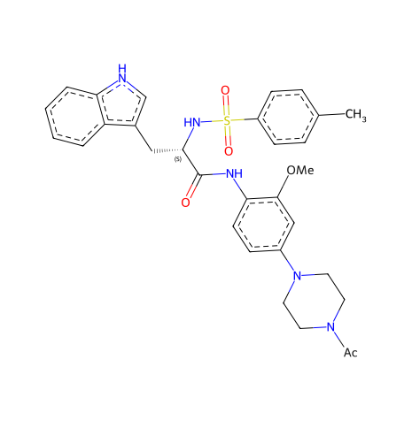 COc1cc(N2CCN(C(C)=O)CC2)ccc1NC(=O)[C@H](Cc1c[nH]c2ccccc12)NS(=O)(=O)c1ccc(C)cc1